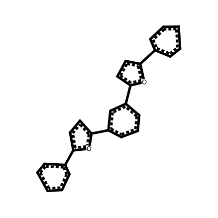 c1ccc(-c2ccc(-c3cccc(-c4ccc(-c5ccccc5)o4)c3)o2)cc1